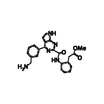 COC(=O)Cc1ccccc1NC(=O)c1nc(-c2cccc(CN)c2)c2cc[nH]c2n1